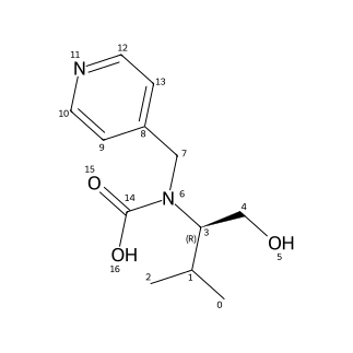 CC(C)[C@H](CO)N(Cc1ccncc1)C(=O)O